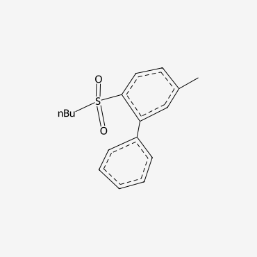 CCCCS(=O)(=O)c1ccc(C)cc1-c1ccccc1